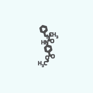 CCOC(=O)c1ccc(NC(=O)N(C)Cc2ccccc2)cc1